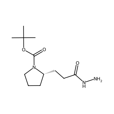 CC(C)(C)OC(=O)N1CCC[C@H]1CCC(=O)NN